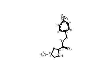 N[C@H]1CNC(C(=O)OCc2ccc([N+](=O)[O-])cc2)C1